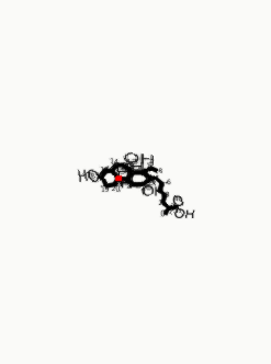 CC(CCC[C@@H](C)[C@H]1CC[C@H]2[C@@H]3[C@H](O)CC4C[C@H](O)CC[C@]4(C)[C@H]3C[C@H](O)[C@]12C)C(=O)O